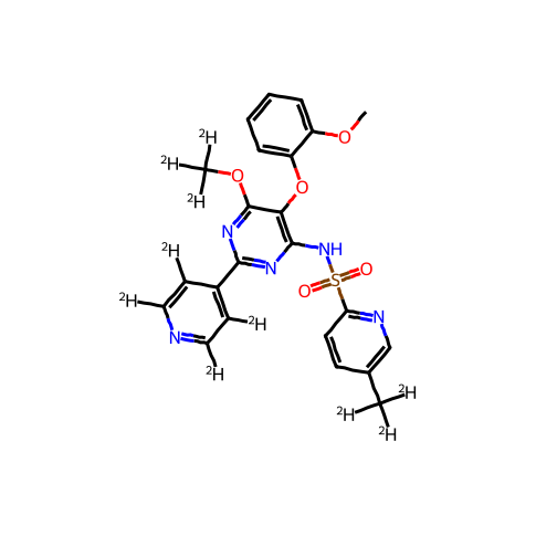 [2H]c1nc([2H])c([2H])c(-c2nc(NS(=O)(=O)c3ccc(C([2H])([2H])[2H])cn3)c(Oc3ccccc3OC)c(OC([2H])([2H])[2H])n2)c1[2H]